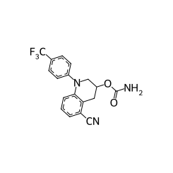 N#Cc1cccc2c1CC(OC(N)=O)CN2c1ccc(C(F)(F)F)cc1